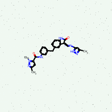 Cc1cc(N/C=C2\C(=O)Nc3ccc(Cc4cccc(NC(=O)c5cc(C)nn5C(C)(C)C)c4)cc32)[nH]n1